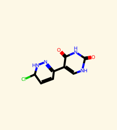 O=c1[nH]cc(C2=NNC(Cl)C=C2)c(=O)[nH]1